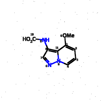 COc1cccn2ncc(NC(=O)O)c12